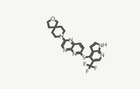 FC(F)(F)c1cnc2[nH]ccc2c1Sc1ccc2nc(N3CCC4(CCOC4)CC3)cnc2n1